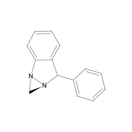 c1ccc(C2c3ccccc3N3C[N@]23)cc1